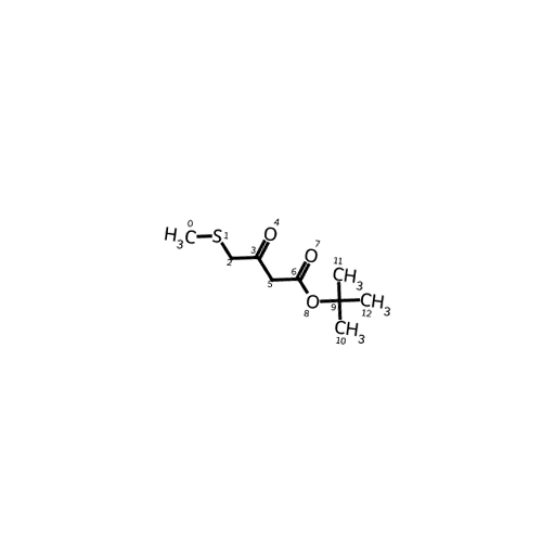 CSCC(=O)CC(=O)OC(C)(C)C